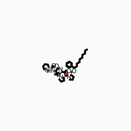 CCCCCCCCCC(OC(=O)[C@@H]1CCCN1C(=O)[C@@H]1CCCN1C[C@H](C(C)C)N(C)C(=O)[C@@H](NC(=O)[C@H]1CCCCN1C)C(C)(C)C)c1ccccc1